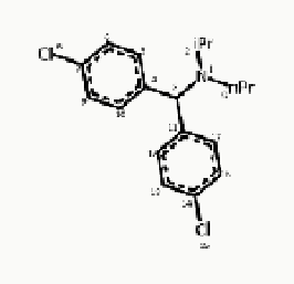 CCCN(C(C)C)C(c1ccc(Cl)cc1)c1ccc(Cl)cc1